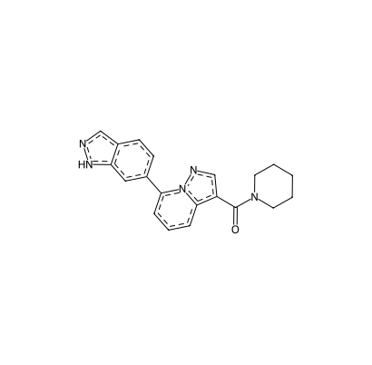 O=C(c1cnn2c(-c3ccc4cn[nH]c4c3)cccc12)N1CCCCC1